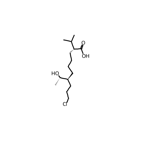 CC(C)[C@@H](CCCC[C@@H](CCCCl)[C@H](C)O)C(=O)O